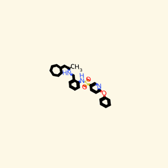 C[C@@H](CC1CCCCCC1)NCc1ccccc1NS(=O)(=O)c1ccc(Oc2ccccc2)nc1